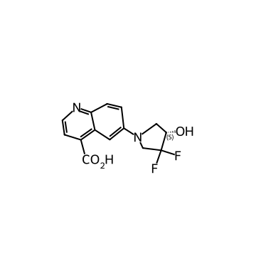 O=C(O)c1ccnc2ccc(N3C[C@H](O)C(F)(F)C3)cc12